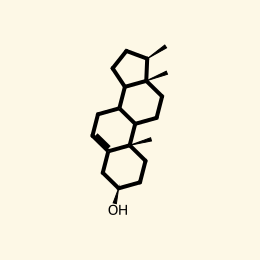 C[C@@H]1CCC2C3CC=C4C[C@H](O)CC[C@@]4(C)C3CC[C@]21C